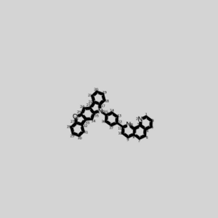 c1cnc2c(c1)ccc1ccc(-c3ccc(-n4c5ccccc5c5cc6oc7ccccc7c6cc54)cc3)nc12